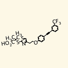 CC(C)(Sc1nc(CCOc2ccc(C#Cc3cccc(C(F)(F)F)c3)cc2)cs1)C(=O)O